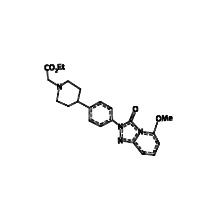 CCOC(=O)CN1CCC(c2ccc(-n3nc4cccc(OC)n4c3=O)cc2)CC1